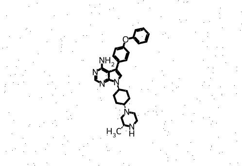 C[C@@H]1CN([C@H]2CC[C@H](n3cc(-c4ccc(Oc5ccccc5)cc4)c4c(N)ncnc43)CC2)CCN1